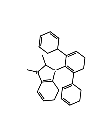 CC1N(C)C2=C(CCC=C2)N1C1=C(C2=CC=CCC2)CCC=C1C1C=CC=CC1